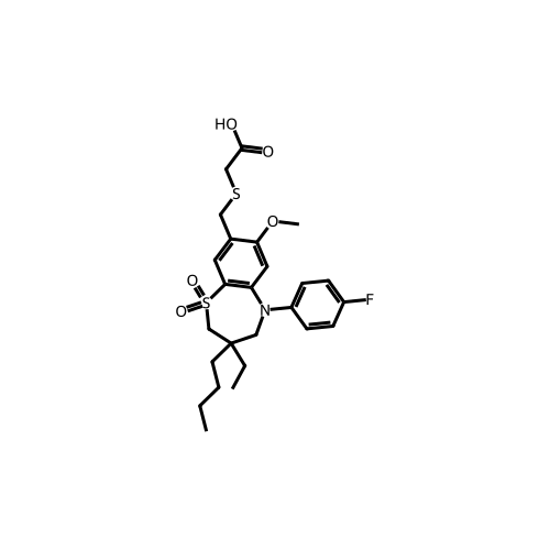 CCCCC1(CC)CN(c2ccc(F)cc2)c2cc(OC)c(CSCC(=O)O)cc2S(=O)(=O)C1